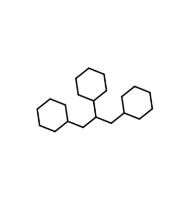 C1CCC(CC(CC2CCCCC2)C2CCCCC2)CC1